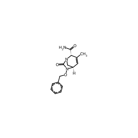 CC1=C[C@@H]2CN(C(=O)N2OCc2ccccc2)[C@@H]1C(N)=O